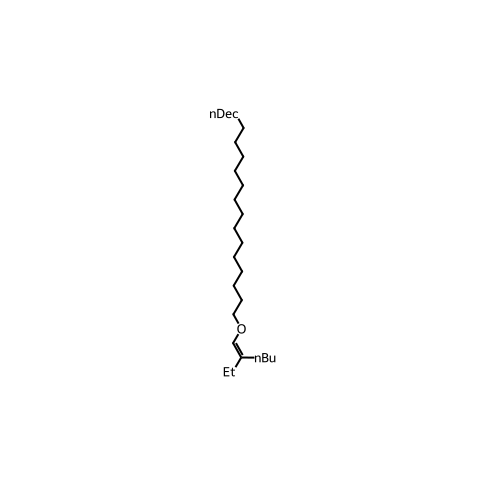 CCCCCCCCCCCCCCCCCCCCCCCCOC=C(CC)CCCC